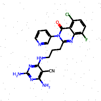 N#Cc1c(N)nc(N)nc1NCCCc1nc2c(F)ccc(Cl)c2c(=O)n1-c1cccnc1